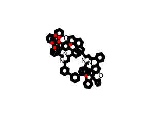 c1ccc(-c2cccc(-c3nc(-c4cccc(-c5cccc(-c6cccc7c6-c6ccccc6C76c7ccccc7Oc7cc(-c8ccccc8-c8cc(-c9ccc%10c(ccc%11ccccc%11%10)c9)nc(-c9ccccc9)n8)ccc76)c5)c4)cc(-c4ccccc4-c4ccc5c(c4)Oc4ccccc4C54c5ccccc5-c5ccccc54)n3)c2)cc1